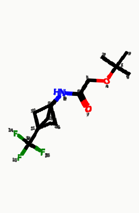 CC(C)(C)OCC(=O)NC12CC(C(F)(F)F)(C1)C2